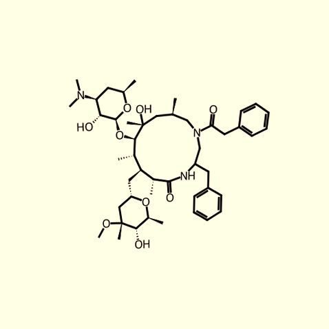 CO[C@]1(C)C[C@H](C[C@H]2[C@H](C)[C@@H](O[C@@H]3O[C@H](C)C[C@H](N(C)C)[C@H]3O)[C@](C)(O)C[C@@H](C)CN(C(=O)Cc3ccccc3)CC(Cc3ccccc3)NC(=O)[C@@H]2C)O[C@@H](C)[C@@H]1O